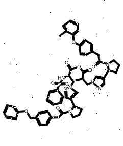 Cc1ccccc1Oc1ccc(CC(=O)N2CCCC2c2cnn(CC(C)C(=O)OC(=O)C(Cn3cc(C4CCCN4C(=O)Cc4ccc(COc5ccccc5)cc4)cn3)NS(=O)(=O)c3ccccc3)c2)cc1